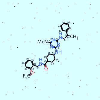 CNc1nc(NC[C@H](C)c2ccccc2)nc(NC2CCC(C(=O)NCc3ccccc3OC(F)(F)F)CC2)n1